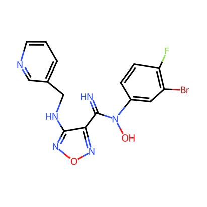 N=C(c1nonc1NCc1cccnc1)N(O)c1ccc(F)c(Br)c1